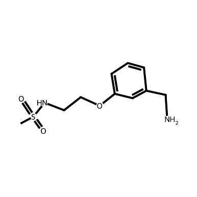 CS(=O)(=O)NCCOc1cccc(CN)c1